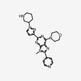 Cn1c(-c2ccncc2)nc2c(N3CCOCC3)nc(-c3ccn(C4CCCNC4)n3)nc21